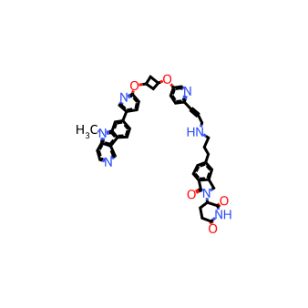 Cn1c2ccncc2c2ccc(-c3ccc(OC4CC(Oc5ccc(C#CCNCCCc6ccc7c(c6)CN(C6CCC(=O)NC6=O)C7=O)nc5)C4)nc3)cc21